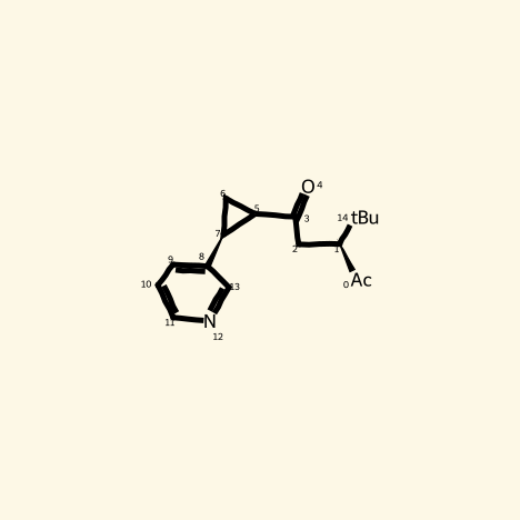 CC(=O)[C@@H](CC(=O)C1C[C@@H]1c1cccnc1)C(C)(C)C